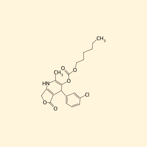 CCCCCCOC(=O)OC1=C(C)NC2=C(C(=O)OC2)C1c1cccc(Cl)c1